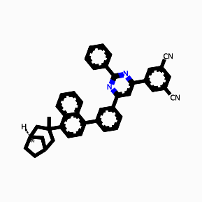 CC1(c2ccc(-c3cccc(-c4cc(-c5cc(C#N)cc(C#N)c5)nc(-c5ccccc5)n4)c3)c3ccccc23)CC2CC[C@H](C2)C1